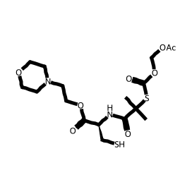 CC(=O)OCOC(=O)SC(C)(C)C(=O)N[C@@H](CS)C(=O)OCCN1CCOCC1